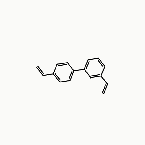 C=Cc1[c]c(-c2ccc(C=C)cc2)ccc1